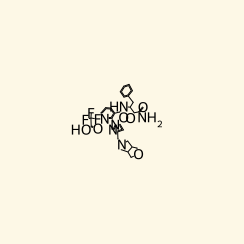 NC(=O)C(=O)C(Cc1ccccc1)NC(=O)c1cccnc1-n1ccc(CN2CC3COCC3C2)n1.O=C(O)C(F)(F)F